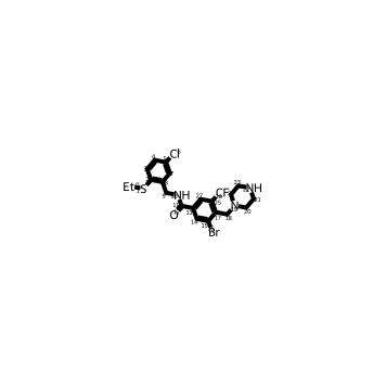 CCSc1ccc(Cl)cc1CNC(=O)c1cc(Br)c(CN2CCNCC2)c(C(F)(F)F)c1